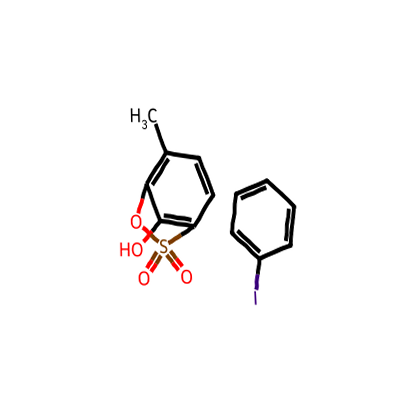 Cc1ccc2c(O)c1OS2(=O)=O.Ic1ccccc1